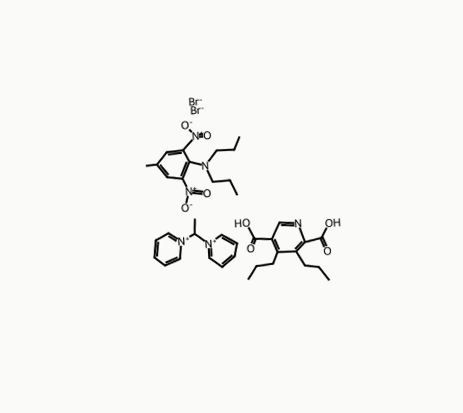 CC([n+]1ccccc1)[n+]1ccccc1.CCCN(CCC)c1c([N+](=O)[O-])cc(C)cc1[N+](=O)[O-].CCCc1c(C(=O)O)cnc(C(=O)O)c1CCC.[Br-].[Br-]